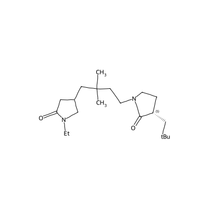 CCN1CC(CC(C)(C)CCN2CC[C@H](CC(C)(C)C)C2=O)CC1=O